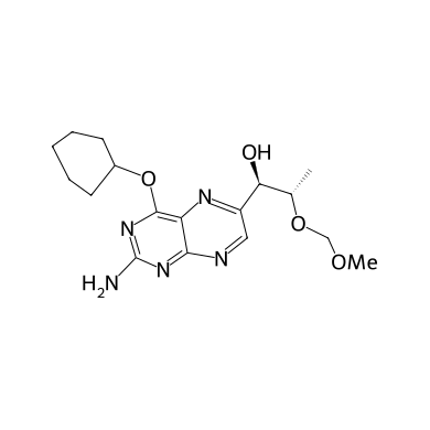 COCO[C@@H](C)[C@H](O)c1cnc2nc(N)nc(OC3CCCCC3)c2n1